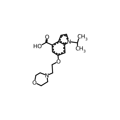 CC(C)n1ccc2c(C(=O)O)cc(OCCN3CCOCC3)cc21